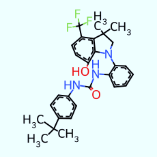 CC(C)(C)c1ccc(NC(=O)Nc2ccccc2N2CC(C)(C)c3c(C(F)(F)F)ccc(O)c32)cc1